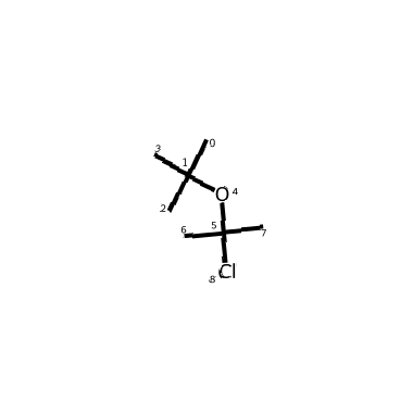 CC(C)(C)OC(C)(C)Cl